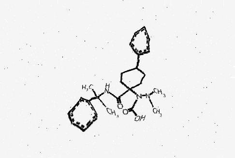 CN(C)N(C(=O)O)C1(C(=O)NC(C)(C)c2ccccc2)CCC(c2ccccc2)CC1